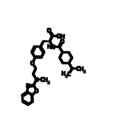 CC(C)C1CCC(C(=O)N[C@H](Cc2ccc(OCCN(C)c3nc4ccccc4o3)cc2)C(=O)O)CC1